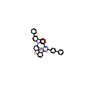 CC12C=C(N3c4ccccc4C4c5sc6c(c5C=CC43)CCC=C6)CCC1OC1=C2C(C2N=C(c3ccc(-c4ccccc4)cc3)N=C(C3=CC=CCC3)N2)CC=C1